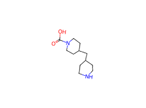 O=C(O)N1CCC(CC2CCNCC2)CC1